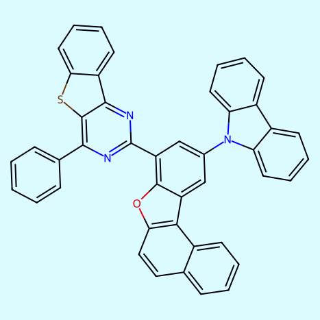 c1ccc(-c2nc(-c3cc(-n4c5ccccc5c5ccccc54)cc4c3oc3ccc5ccccc5c34)nc3c2sc2ccccc23)cc1